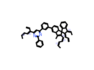 C=C/C=C1\C(=C/C)c2ccccc2C12C(/C=C\C=C/C)=C(C)C1C=C(c3cccc(-c4cc(/C(C=C)=C/C=C\C)nc(-c5ccccc5)n4)c3)C=CC12